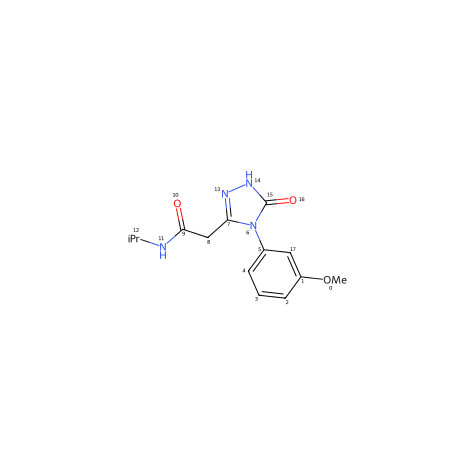 COc1cccc(-n2c(CC(=O)NC(C)C)n[nH]c2=O)c1